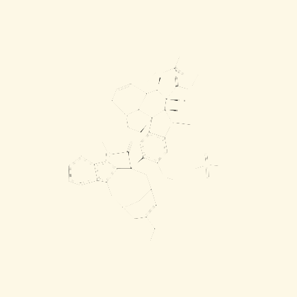 CCC1=CC2CN(C1)Cc1c([nH]c3ccccc13)[C@@](C(=O)OC)(c1cc3c(cc1OC)N(C)[C@H]1[C@@](O)(C(=O)OC)[C@H](OC(C)=O)[C@]4(CC)C=CCN5CC[C@]31[C@@H]54)C2.O=S(=O)(O)O